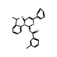 Cc1cccc(C(=O)N=c2sc(-c3ccccc3)cc(=O)n2-c2ccccc2C(C)C)c1